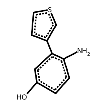 Nc1ccc(O)cc1-c1ccsc1